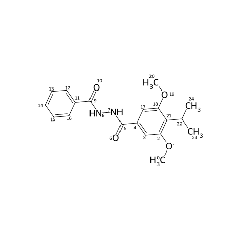 COc1cc(C(=O)NNC(=O)c2ccccc2)cc(OC)c1C(C)C